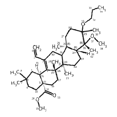 C=CC1=C2[C@@H]3CC(C)(C)CC[C@]3(C(=O)OC)CC[C@@]2(C)[C@]2(C)CC[C@@H]3[C@](C)(CCC(C)(OCCC)[C@]3(C)OC)C2C1